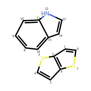 c1cc2sccc2s1.c1ccc2[nH]ccc2c1